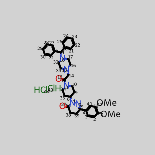 COc1ccc(C2=NN(C3CCN(C(=O)CN4CCN(C(c5ccccc5)c5ccccc5)CC4)CC3)C(=O)CC2)cc1OC.Cl.Cl